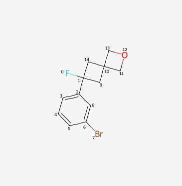 FC1(c2cccc(Br)c2)CC2(COC2)C1